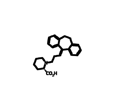 O=C(O)[C@@H]1CCCCN1CCC=C1c2ccccc2CCc2ccccc21